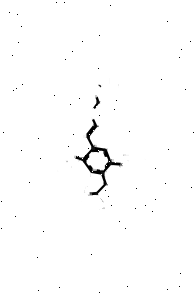 COCS/C=C/c1cc(OC)c(C[C@@H](C)N)cc1OC